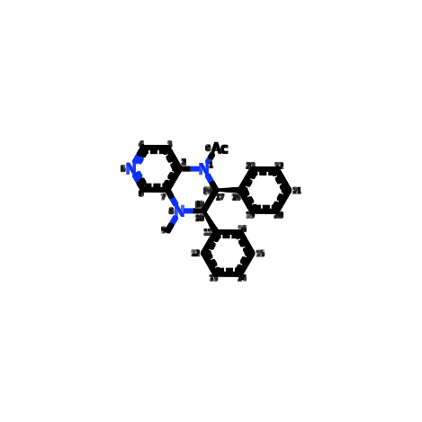 CC(=O)N1c2ccncc2N(C)[C@H](c2ccccc2)[C@@H]1c1ccccc1